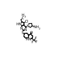 CCc1[nH]c2nc(Sc3ccc4[nH]c(C(F)(F)F)cc(=O)c4c3)nc(N3CC[C@@H](N)C3)c2c1Cl